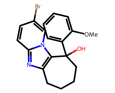 COc1ccccc1C1(O)CCCCc2nc3ccc(Br)cn3c21